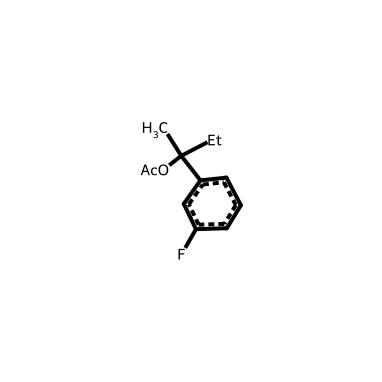 CCC(C)(OC(C)=O)c1cccc(F)c1